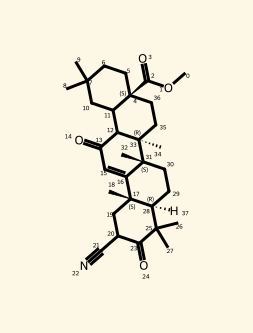 COC(=O)[C@]12CCC(C)(C)CC1C1C(=O)C=C3[C@@]4(C)CC(C#N)C(=O)C(C)(C)[C@@H]4CC[C@@]3(C)[C@]1(C)CC2